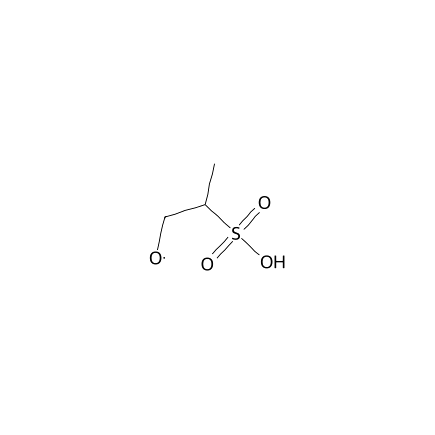 CC(C[O])S(=O)(=O)O